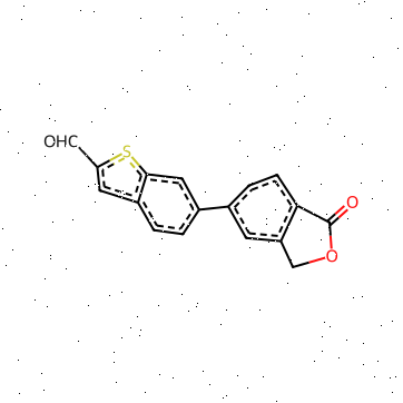 O=Cc1cc2ccc(-c3ccc4c(c3)COC4=O)cc2s1